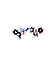 Cc1cc(NC(=O)NCCN2CCC(N(CC(C)C)S(=O)(=O)c3ccccc3)C2)c2ccccc2n1